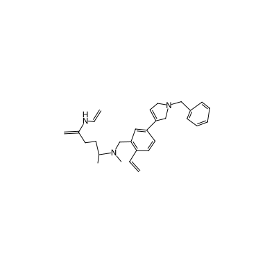 C=CNC(=C)CCC(C)N(C)Cc1cc(C2=CCN(Cc3ccccc3)C2)ccc1C=C